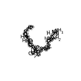 Cc1csc2c(OC(=O)N(C)CC(C)(C)CN(C)C(=O)OCc3ccc(N[C@@H](CCC(N)C(N)=O)C(N)=O)cc3)cc3c(c12)[C@@H](CCl)CN3C(=O)c1cc2cc(NC(=O)c3cc4cc(OCCN5CCCC5)ccc4[nH]3)ccc2[nH]1